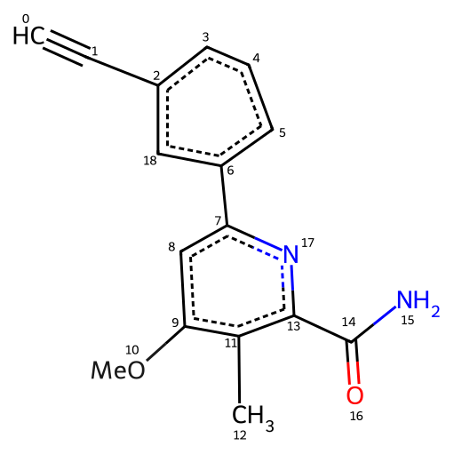 C#Cc1cccc(-c2cc(OC)c(C)c(C(N)=O)n2)c1